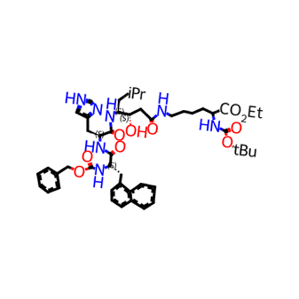 CCOC(=O)C(CCCCNC(=O)C[C@H](O)[C@H](CC(C)C)NC(=O)[C@H](Cc1c[nH]cn1)NC(=O)[C@H](Cc1cccc2ccccc12)NC(=O)OCc1ccccc1)NC(=O)OC(C)(C)C